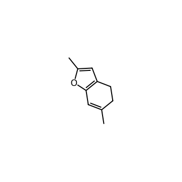 CC1=Cc2oc(C)cc2CC1